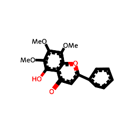 COc1c(OC)c(O)c2c(=O)cc(-c3ccccc3)oc2c1OC